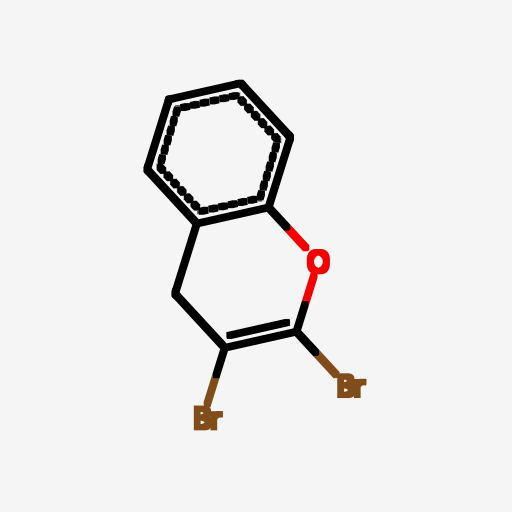 BrC1=C(Br)Oc2ccccc2C1